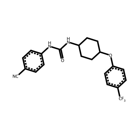 N#Cc1ccc(NC(=O)NC2CCC(Oc3ccc(C(F)(F)F)cc3)CC2)cc1